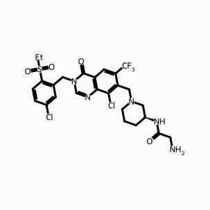 CCS(=O)(=O)c1ccc(Cl)cc1Cn1cnc2c(Cl)c(CN3CCC[C@H](NC(=O)CN)C3)c(C(F)(F)F)cc2c1=O